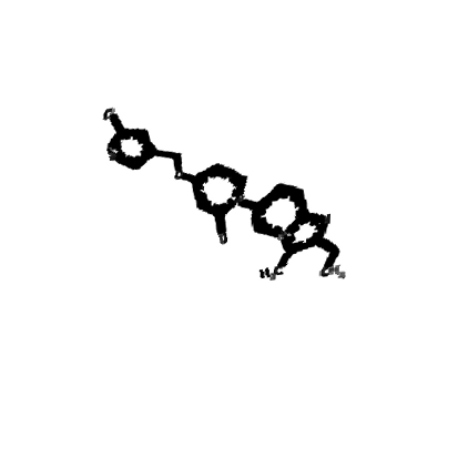 CCc1nc2ccc(-n3ccc(OCc4csc(Cl)c4)cc3=O)cn2c1C